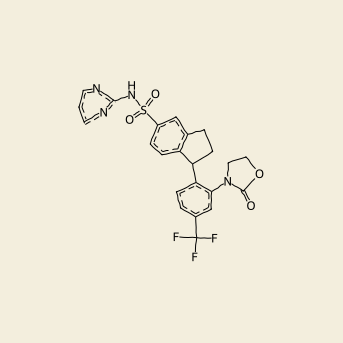 O=C1OCCN1c1cc(C(F)(F)F)ccc1C1CCc2cc(S(=O)(=O)Nc3ncccn3)ccc21